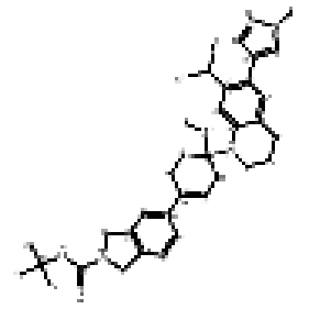 CSC1(N2CCCc3cc(-c4cnn(C)c4)c(C(F)F)cc32)CC=C(c2ccc3c(c2)CN(C(=O)OC(C)(C)C)C3)CC1